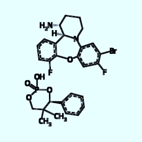 CC1(C)COP(=O)(O)O[C@H]1c1ccccc1.N[C@@H]1CCCN2c3cc(Br)c(F)cc3Oc3c(F)cccc3[C@@H]12